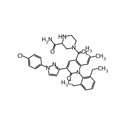 CCc1cccc(CC)c1-n1c(C=C(C)C)c(C(=O)N2CCNC(C(N)=O)C2)cc(-c2ccn(-c3ccc(Cl)cc3)n2)c1=O